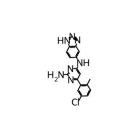 Cc1ccc(Cl)cc1-c1cc(Nc2ccc3[nH]nnc3c2)nc(N)n1